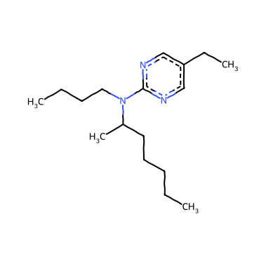 CCCCCC(C)N(CCCC)c1ncc(CC)cn1